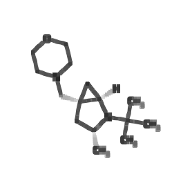 C[C@@H]1C[C@@]2(CN3CCOCC3)C[C@H]2N1C(C)(C)C